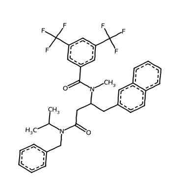 CC(C)N(Cc1ccccc1)C(=O)CC(Cc1ccc2ccccc2c1)N(C)C(=O)c1cc(C(F)(F)F)cc(C(F)(F)F)c1